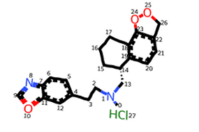 CN(CCc1ccc2ncoc2c1)C[C@@H]1CCCc2c1ccc1c2OOC1.Cl